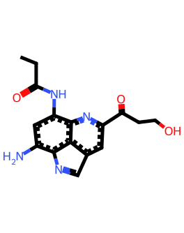 CCC(=O)Nc1cc(N)c2c3c(cc(C(=O)CCO)nc13)C=N2